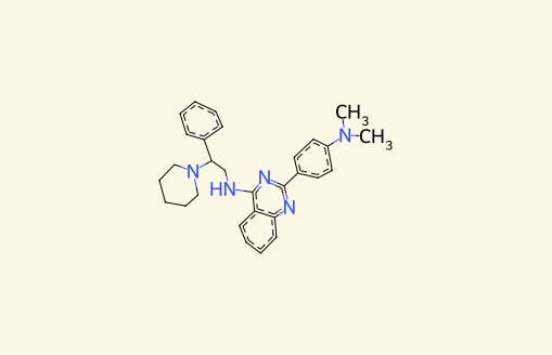 CN(C)c1ccc(-c2nc(NCC(c3ccccc3)N3CCCCC3)c3ccccc3n2)cc1